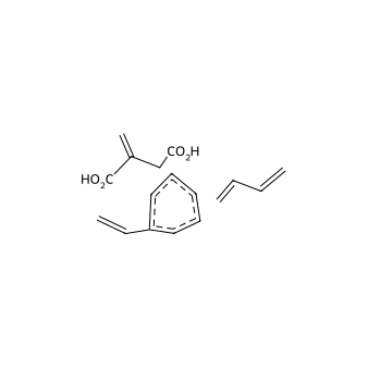 C=C(CC(=O)O)C(=O)O.C=CC=C.C=Cc1ccccc1